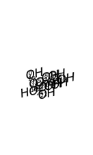 OCCO[C@H](OCC(O)C(O)[C@H](O)C(O)CO)C(O)C(O)CO